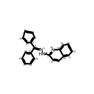 c1ccc(C(=NNc2ccc3ccccc3n2)c2ccccc2)cc1